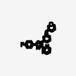 Fc1ccc(-c2cc(C3CCCN(CC4CCCOC4)C3)n(-c3ncccn3)n2)cc1